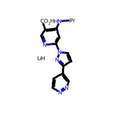 CC(C)Nc1cc(-n2ccc(-c3ccnnc3)n2)ncc1C(=O)O.[LiH]